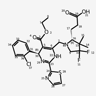 CCOC(=O)C1=C(CN2CC(F)(F)C(C)(C)[C@H]2CCC(=O)O)NC(c2nccs2)=N[C@H]1c1ccccc1Cl